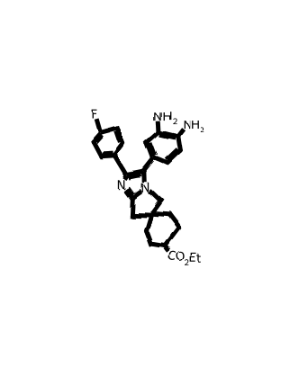 CCOC(=O)C1CCC2(CC1)Cc1nc(-c3ccc(F)cc3)c(-c3ccc(N)c(N)c3)n1C2